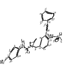 CC(C)(C)c1ccc(NC(=O)NCc2ccc(NS(C)(=O)=O)c(C#Cc3ccccc3)c2)cc1